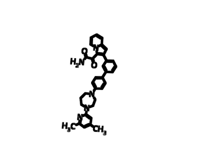 Cc1cc(C)nc(N2CCCN(c3ccc(-c4cccc(-c5cc6ccccn6c5C(=O)C(N)=O)c4)cc3)CC2)c1